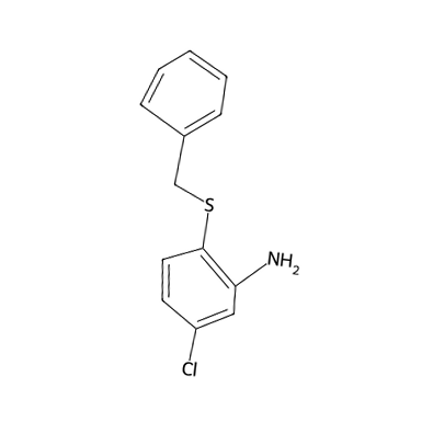 Nc1cc(Cl)ccc1SCc1ccccc1